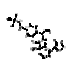 CC(NC(=O)C1(C)C=NC=C(c2nccs2)N1)c1ccc(OCC(F)(F)F)nc1